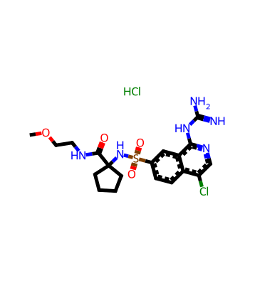 COCCNC(=O)C1(NS(=O)(=O)c2ccc3c(Cl)cnc(NC(=N)N)c3c2)CCCC1.Cl